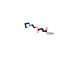 COC(=O)/C=C/C(=O)OCCN1CCCS1